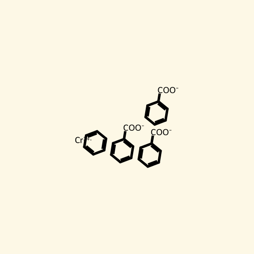 O=C([O-])c1ccccc1.O=C([O-])c1ccccc1.O=C([O-])c1ccccc1.[Cr+3].c1ccccc1